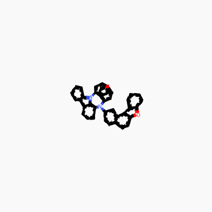 c1ccc(N(c2ccc3ccc4oc5ccccc5c4c3c2)c2cccc3c4ccccc4n(-c4ccccc4)c23)cc1